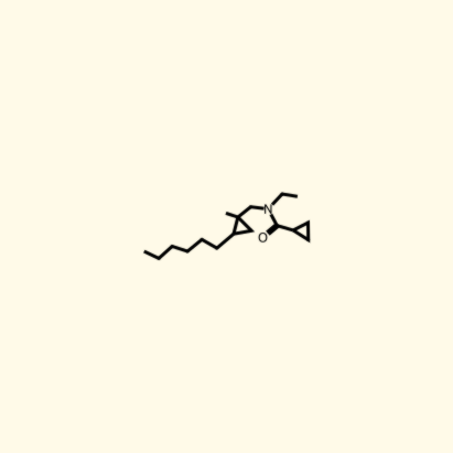 CCCCCCC1CC1(C)CN(CC)C(=O)C1CC1